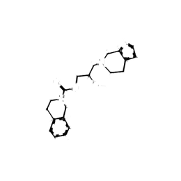 O=C(OCC(O)CN1CCc2ccsc2C1)N1CCc2ccccc2C1